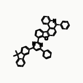 CC1(C)c2ccccc2-c2cc(-c3cc(-c4ccccc4)nc(-c4cccc5c4oc4ccc6c(-c7ccccc7)nc7ccccc7c6c45)n3)ccc21